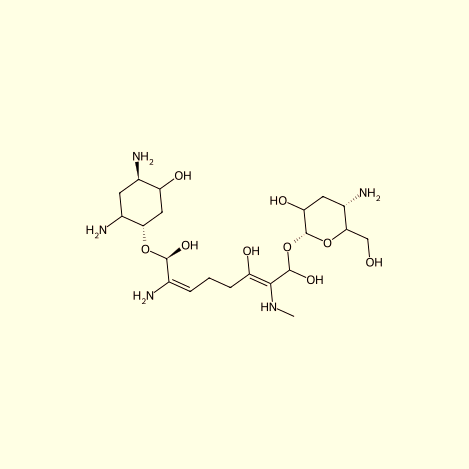 CN/C(=C(/O)CC/C=C(/N)[C@H](O)O[C@H]1CC(O)[C@H](N)CC1N)C(O)O[C@H]1OC(CO)[C@@H](N)CC1O